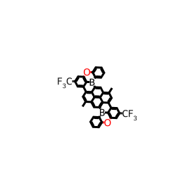 Cc1cc2c3c(cc4c(C)cc5c6c(cc1c3c46)B1c3ccccc3Oc3cc(C(F)(F)F)cc-5c31)B1c3ccccc3Oc3cc(C(F)(F)F)cc-2c31